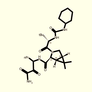 CCCC(NC(=O)[C@@H]1[C@@H]2[C@H](CN1C(=O)[C@@H](NC(=O)NC1CCCCC1)C(C)(C)C)C2(C)C)C(=O)C(N)=O